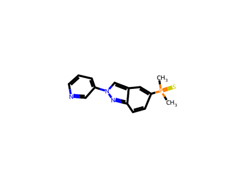 CP(C)(=S)c1ccc2nn(-c3cccnc3)cc2c1